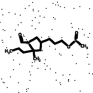 CCCC1(C)CC(CCCOS(C)=O)CN1C=O